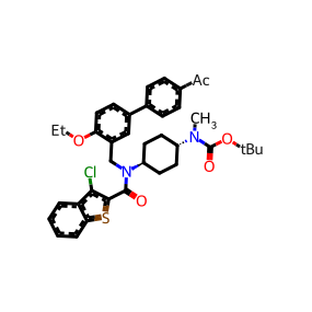 CCOc1ccc(-c2ccc(C(C)=O)cc2)cc1CN(C(=O)c1sc2ccccc2c1Cl)[C@H]1CC[C@H](N(C)C(=O)OC(C)(C)C)CC1